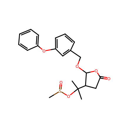 CS(=O)OC(C)(C)C1CC(=O)OC1OCc1cccc(Oc2ccccc2)c1